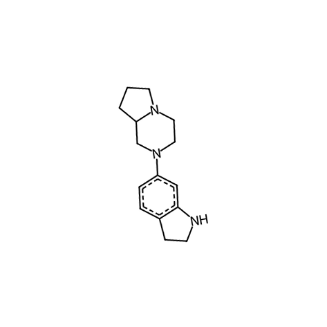 c1cc2c(cc1N1CCN3CCCC3C1)NCC2